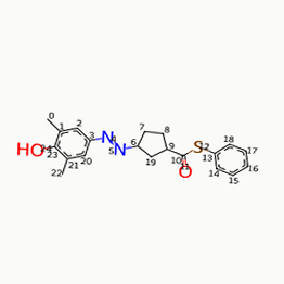 Cc1cc(/N=N/C2CCC(C(=O)Sc3ccccc3)C2)cc(C)c1O